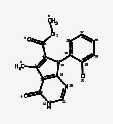 COC(=O)c1c(C)c2c(=O)[nH]cnc2n1-c1ccccc1Cl